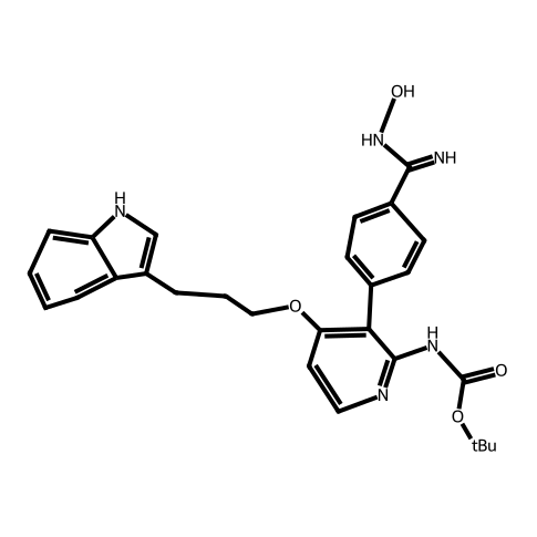 CC(C)(C)OC(=O)Nc1nccc(OCCCc2c[nH]c3ccccc23)c1-c1ccc(C(=N)NO)cc1